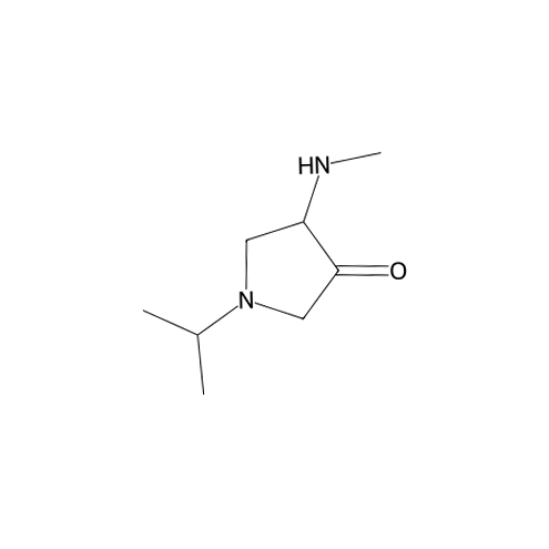 CNC1CN(C(C)C)CC1=O